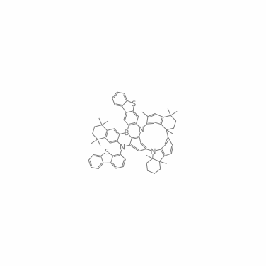 Cc1cc2c3cc1N1c4cc5sc6ccccc6c5cc4B4c5cc6c(cc5N(c5cccc7c5sc5ccccc57)c5cc(cc1c54)N1c4cc(ccc4C4(C)CCCCC14C)C3(C)CCC2(C)C)C(C)(C)CCC6(C)C